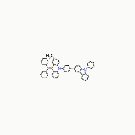 Cc1ccc(N(c2ccc(-c3ccc4c(c3)c3ccccc3n4-c3ccccc3)cc2)c2ccccc2C2=C(C3=CCCC=C3)C3=CC=CCC3CC2)cc1